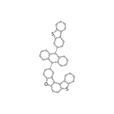 c1ccc2c(c1)sc1cc(-c3c4ccccc4c(-c4ccc5oc6ccc7sc8ccccc8c7c6c5c4)c4ccccc34)ccc12